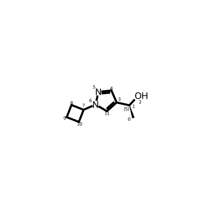 C[C@H](O)c1cnn(C2CCC2)c1